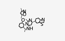 Cc1cc(COc2cccc(C(C)Nc3cc(-c4ccc5ncsc5c4)nc(C)n3)c2)on1